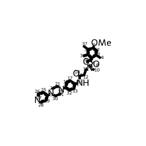 COc1cc(C)c(S(=O)(=O)N(C)CCC(=O)Nc2ccc(N3CCN(c4ccncc4)CC3)cc2)c(C)c1C